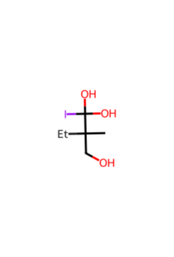 CCC(C)(CO)C(O)(O)I